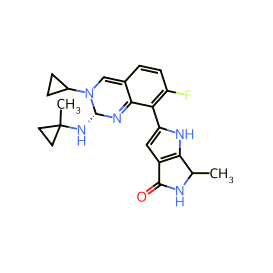 CC1NC(=O)c2cc(-c3c(F)ccc4c3=N[C@H](NC3(C)CC3)N(C3CC3)C=4)[nH]c21